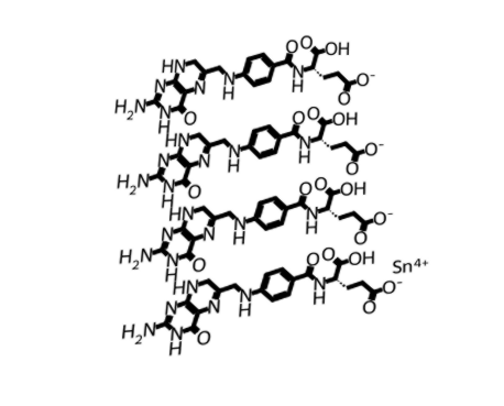 Nc1nc2c(c(=O)[nH]1)N=C(CNc1ccc(C(=O)N[C@@H](CCC(=O)[O-])C(=O)O)cc1)CN2.Nc1nc2c(c(=O)[nH]1)N=C(CNc1ccc(C(=O)N[C@@H](CCC(=O)[O-])C(=O)O)cc1)CN2.Nc1nc2c(c(=O)[nH]1)N=C(CNc1ccc(C(=O)N[C@@H](CCC(=O)[O-])C(=O)O)cc1)CN2.Nc1nc2c(c(=O)[nH]1)N=C(CNc1ccc(C(=O)N[C@@H](CCC(=O)[O-])C(=O)O)cc1)CN2.[Sn+4]